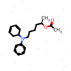 CC(=O)O[C@H](C)CCCCN(c1ccccc1)C1C=CC=CC1